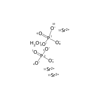 O.O=P([O-])([O-])[O-].O=P([O-])([O-])[O-].[Sr+2].[Sr+2].[Sr+2]